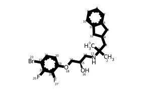 CC(C)(CC1Cc2ccccc2C1)NC[C@@H](O)COc1ccc(Br)c(F)c1F